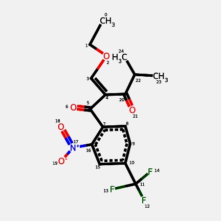 CCOC=C(C(=O)c1ccc(C(F)(F)F)cc1[N+](=O)[O-])C(=O)C(C)C